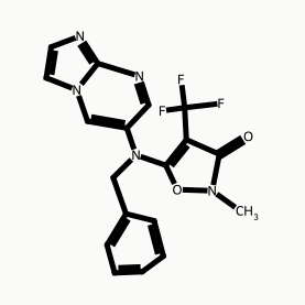 Cn1oc(N(Cc2ccccc2)c2cnc3nccn3c2)c(C(F)(F)F)c1=O